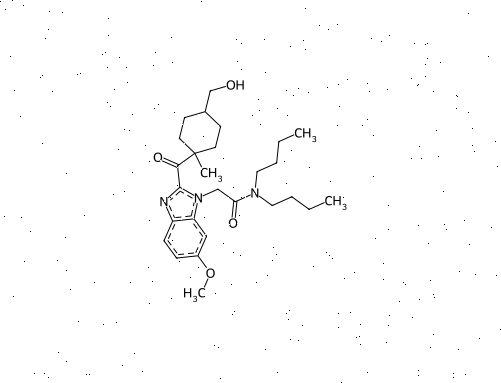 CCCCN(CCCC)C(=O)Cn1c(C(=O)C2(C)CCC(CO)CC2)nc2ccc(OC)cc21